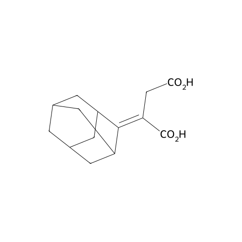 O=C(O)CC(C(=O)O)=C1C2CC3CC(C2)CC1C3